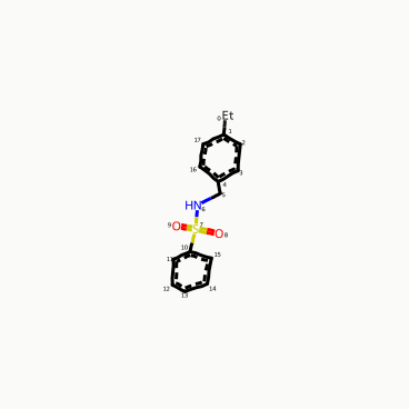 CCc1ccc(CNS(=O)(=O)c2ccccc2)cc1